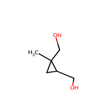 CC1(CO)CC1CO